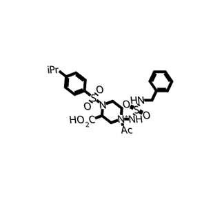 CC(=O)[N+]1(NS(=O)(=O)NCc2ccccc2)CCN(S(=O)(=O)c2ccc(C(C)C)cc2)C(C(=O)O)C1